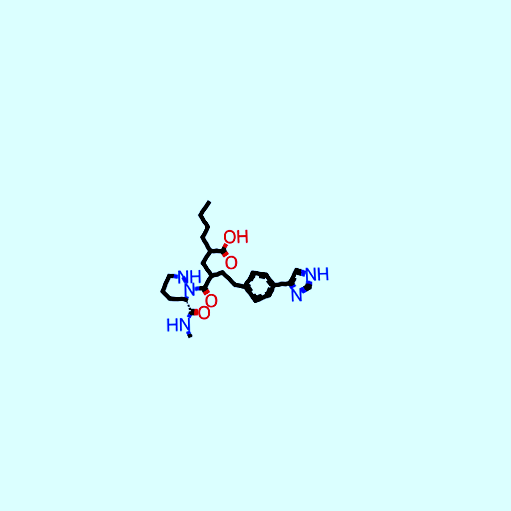 CCCCC(CC(CCc1ccc(-c2c[nH]cn2)cc1)C(=O)N1NCCC[C@H]1C(=O)NC)C(=O)O